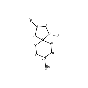 C[C@H]1CC(F)CC12CCN(C(C)(C)C)CC2